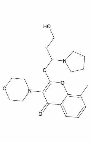 Cc1cccc2c(=O)c(N3CCOCC3)c(OC(CCO)N3CCCC3)oc12